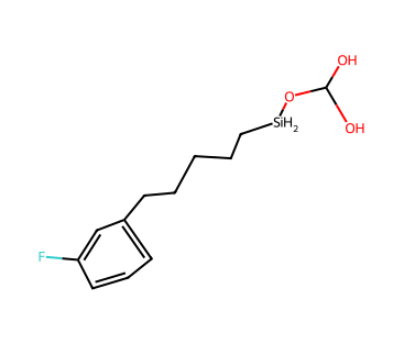 OC(O)O[SiH2]CCCCCc1cccc(F)c1